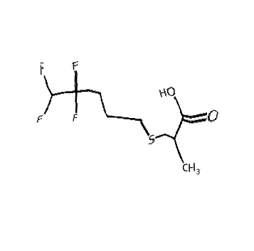 CC(SCCCC(F)(F)C(F)F)C(=O)O